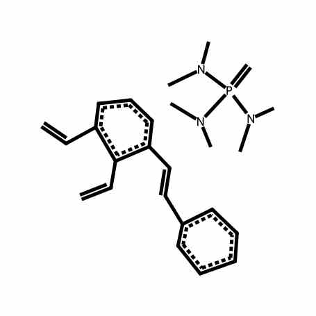 C=Cc1cccc(C=Cc2ccccc2)c1C=C.C=P(N(C)C)(N(C)C)N(C)C